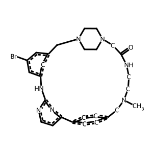 CN1CCNC(=O)CN2CCN(CC2)Cc2cc(Br)cc(c2)Nc2nccc(n2)-c2ccc(cc2)C1